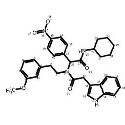 COc1cccc(CCN(C(=O)Cc2c[nH]c3ccccc23)C(C(=O)NC2CCCCC2)c2ccc([N+](=O)[O-])cc2)c1